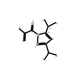 C=C(C)C(=O)n1nc(C(C)C)cc1C(C)C